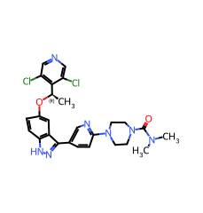 C[C@@H](Oc1ccc2[nH]nc(-c3ccc(N4CCN(C(=O)N(C)C)CC4)nc3)c2c1)c1c(Cl)cncc1Cl